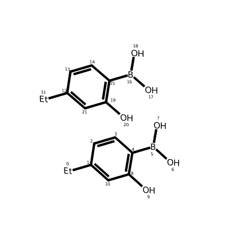 CCc1ccc(B(O)O)c(O)c1.CCc1ccc(B(O)O)c(O)c1